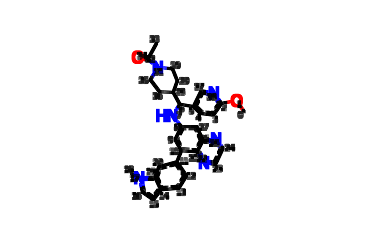 COc1ccc(C(Nc2cc(-c3ccc4ccn(C)c4c3)c3nccnc3c2)C2CCN(C(C)=O)CC2)cn1